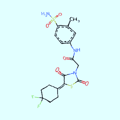 Cc1cc(NC(=O)CN2C(=O)SC(=C3CCC(F)(F)CC3)C2=O)ccc1S(N)(=O)=O